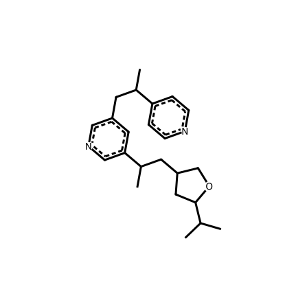 CC(Cc1cncc(C(C)CC2COC(C(C)C)C2)c1)c1ccncc1